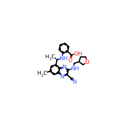 Cc1cc([C@@H](C)Nc2ccccc2C(=O)O)c2nc(NCC3CCOC3)c(C#N)nc2c1